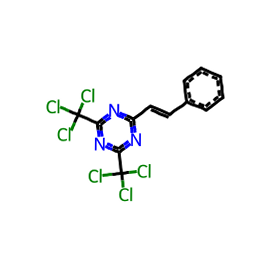 ClC(Cl)(Cl)c1nc(C=Cc2ccccc2)nc(C(Cl)(Cl)Cl)n1